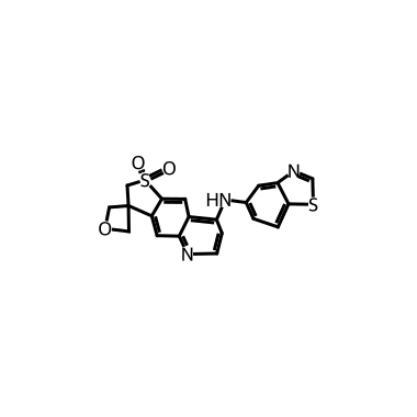 O=S1(=O)CC2(COC2)c2cc3nccc(Nc4ccc5scnc5c4)c3cc21